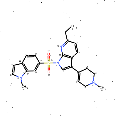 CCc1ccc2c(C3=CCN(C)CC3)cn(S(=O)(=O)c3ccc4ccn(C)c4c3)c2n1